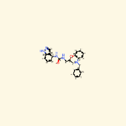 O=C(NCC1CN(Cc2ccccc2)c2ccccc2O1)Nc1cccc2[nH]ncc12